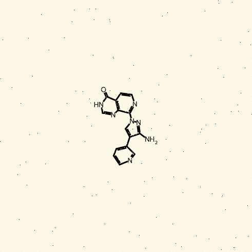 Nc1nn(-c2nccc3c(=O)[nH]cnc23)cc1-c1cccnc1